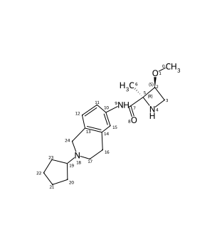 CO[C@H]1CN[C@@]1(C)C(=O)Nc1ccc2c(c1)CCN(C1CCCC1)C2